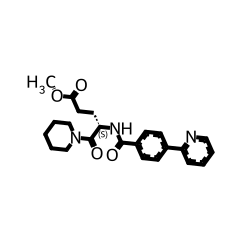 COC(=O)CC[C@H](NC(=O)c1ccc(-c2ccccn2)cc1)C(=O)N1CCCCC1